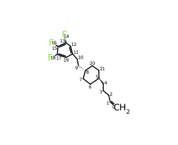 C=CCCC[C@H]1CC[C@H](CCc2cc(F)c(F)c(F)c2)CC1